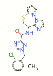 Cc1cccc(Cl)c1Cn1cnc(C(=O)NC2CSc3cccn3-n3ccnc32)n1